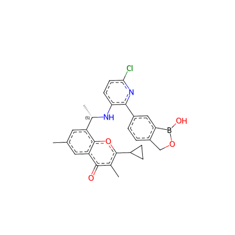 Cc1cc([C@H](C)Nc2ccc(Cl)nc2-c2ccc3c(c2)B(O)OC3)c2oc(C3CC3)c(C)c(=O)c2c1